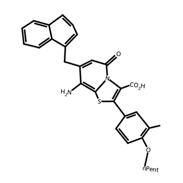 CCCCCOc1ccc(-c2sc3c(N)c(Cc4cccc5ccccc45)cc(=O)n3c2C(=O)O)cc1C